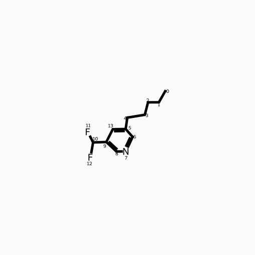 CCCCCc1cncc(C(F)F)c1